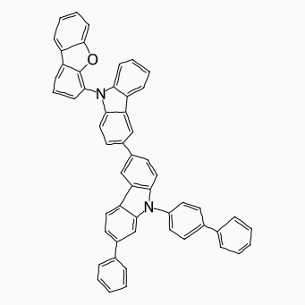 c1ccc(-c2ccc(-n3c4ccc(-c5ccc6c(c5)c5ccccc5n6-c5cccc6c5oc5ccccc56)cc4c4ccc(-c5ccccc5)cc43)cc2)cc1